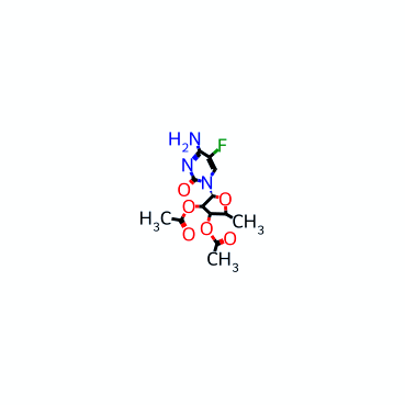 CC(=O)OC1C(C)O[C@@H](n2cc(F)c(N)nc2=O)C1OC(C)=O